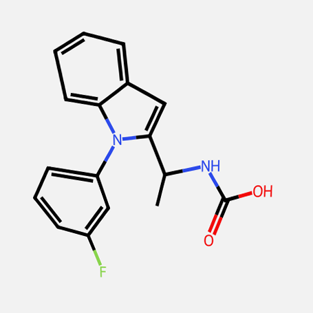 CC(NC(=O)O)c1cc2ccccc2n1-c1cccc(F)c1